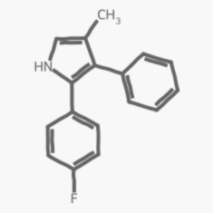 Cc1c[nH]c(-c2ccc(F)cc2)c1-c1ccccc1